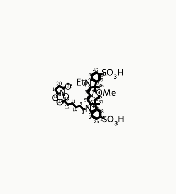 CCN1/C(=C/C=C/C2=[N+](CCCCCC(=O)ON3C(=O)CCC3=O)c3ccc(S(=O)(=O)O)cc3C2(C)CCOC)C(C)(C)c2cc(S(=O)(=O)O)ccc21